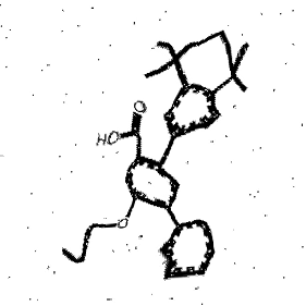 CCCOc1cc(C(=O)O)c(-c2ccc3c(c2)C(C)(C)CCC3(C)C)cc1-c1ccccc1